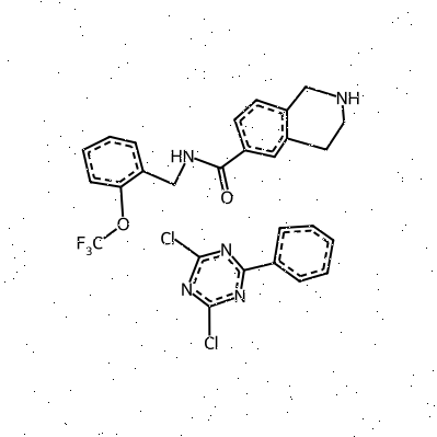 Clc1nc(Cl)nc(-c2ccccc2)n1.O=C(NCc1ccccc1OC(F)(F)F)c1ccc2c(c1)CCNC2